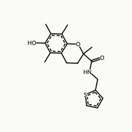 Cc1c(C)c2c(c(C)c1O)CCC(C)(C(=O)NCc1cccs1)O2